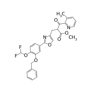 COC(=O)C(Cc1coc(-c2ccc(OC(F)F)c(OCc3ccccc3)c2)n1)C(=O)c1ncccc1C